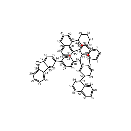 C1=C(c2ccccc2)C(N(c2ccc(-c3ccc4oc5ccccc5c4c3)cc2)c2ccccc2-c2cccc3cccc(C4CCCCC4)c23)=CC(c2cccc3ccccc23)C1